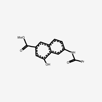 COC(=O)c1cc(O)c2cc(NC(=O)C(C)C)ccc2c1